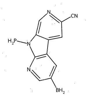 Bc1cnc2c(c1)c1cc(C#N)ncc1n2P